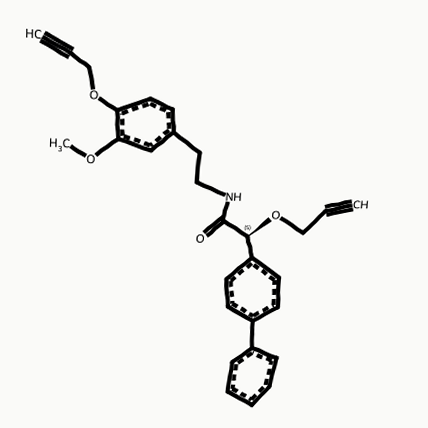 C#CCOc1ccc(CCNC(=O)[C@@H](OCC#C)c2ccc(-c3ccccc3)cc2)cc1OC